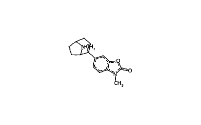 CN1C2CC=C(c3ccc4c(c3)oc(=O)n4C)C1CC2